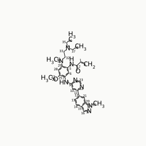 C=CC(=O)Nc1cc(Nc2cc(-c3ccc4cnn(C)c4c3)ncn2)c(OC)cc1N(C)CCN(CC)CC